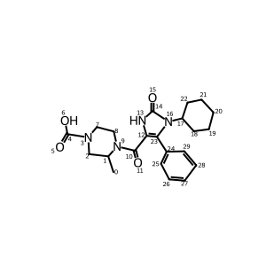 CC1CN(C(=O)O)CCN1C(=O)c1[nH]c(=O)n(C2CCCCC2)c1-c1ccccc1